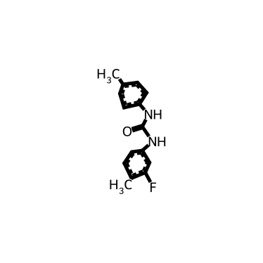 Cc1ccc(NC(=O)Nc2ccc(C)c(F)c2)cc1